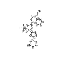 N#Cc1ccc(N2C[C@]3(c4nnc([C@@H]5CNCCO5)o4)C[C@]3(C(F)(F)F)C2)c2cccnc12